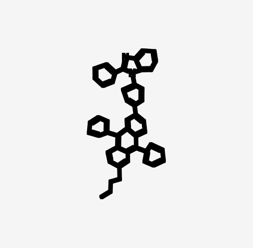 CCCCc1ccc2c(-c3ccccc3)c3cc(-c4ccc(-n5c(-c6ccccc6)nc6ccccc65)cc4)ccc3c(-c3ccccc3)c2c1